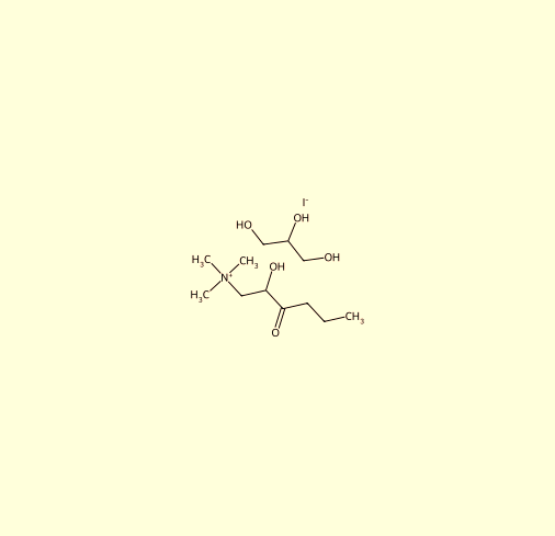 CCCC(=O)C(O)C[N+](C)(C)C.OCC(O)CO.[I-]